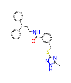 Cc1nc(SCc2cccc(C(=O)NCCC(c3ccccc3)c3ccccc3)c2)n[nH]1